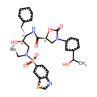 CC[C@H](C)CN(C[C@@H](O)[C@H](Cc1ccccc1)NC(=O)[C@@H]1CN(c2cccc(C(C)O)c2)C(=O)O1)S(=O)(=O)c1ccc2ncsc2c1